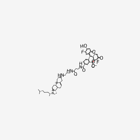 COC(=O)c1cc(C(=O)NCCC(=O)NCCCN[C@H]2CC[C@@]3(C)C(=CCC4C3CC[C@@]3(C)C4CC[C@@H]3C(C)CCCC(C)C)C2)ccc1-c1c2cc(F)c(=O)cc-2oc2cc(O)c(F)cc12